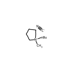 CCCC[N+]1(C)CCCC1.[C-]#N